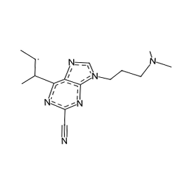 C[CH]C(C)c1nc(C#N)nc2c1ncn2CCCN(C)C